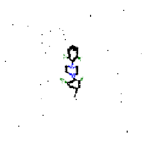 Cc1cc(F)c(N2CCN(c3c(F)cccc3F)CC2)c(F)c1